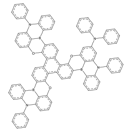 c1ccc(N(c2ccccc2)c2cc3c4c(c2)N(c2ccccc2)c2ccccc2B4c2ccc4c5c6c(ccc5c5c7c(ccc5c4c2O3)B2c3ccccc3N(c3ccccc3)c3cccc(c32)O7)B2c3ccccc3N(c3ccccc3)c3cccc(c32)O6)cc1